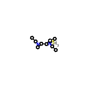 CC12Sc3ccccc3C1C=Cc1c2n(-c2ccc(-c3ccccc3)cc2)c2ccc(-c3ccc4c(c3)c3ccccc3n4-c3ccc(-c4ccccc4)cc3)cc12